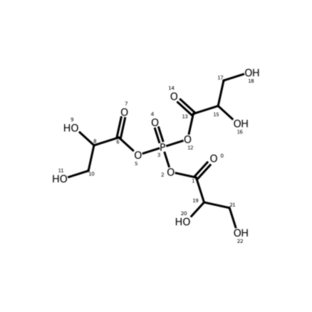 O=C(OP(=O)(OC(=O)C(O)CO)OC(=O)C(O)CO)C(O)CO